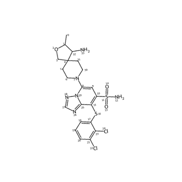 CC1OCC2(CCN(c3cc(S(N)(=O)=O)c(Sc4cccc(Cl)c4Cl)c4ncnn34)CC2)C1N